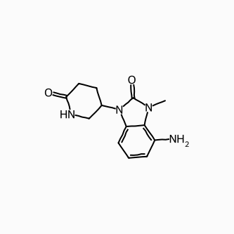 Cn1c(=O)n(C2CCC(=O)NC2)c2cccc(N)c21